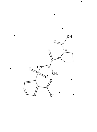 C[C@H](NS(=O)(=O)c1ccccc1[N+](=O)[O-])C(=O)N1CCC[C@H]1C(=O)O